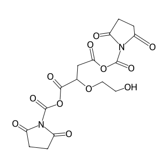 O=C(CC(OCCO)C(=O)OC(=O)N1C(=O)CCC1=O)OC(=O)N1C(=O)CCC1=O